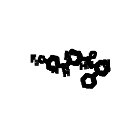 O=C(Nc1cnccc1C1=CCCCC1)c1ccnc(Nc2ccc(C(F)(F)F)cn2)c1